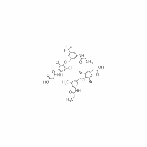 CCC(=O)Nc1cc(C)cc(COc2c(Br)cc(CC(=O)O)cc2Br)c1.CCC(=O)Nc1cc(COc2c(Cl)cc(NC(=O)CC(=O)O)cc2Cl)cc(C(F)(F)F)c1